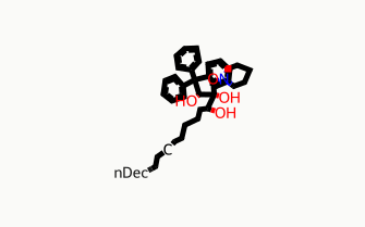 CCCCCCCCCCCCCCCCCCC(O)C(O)(C(=O)N1CCCCC1)C(O)C(c1ccccc1)(c1ccccc1)c1ccccc1